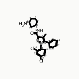 Cc1c(C(=O)N[C@H]2CCC[C@@H](N)C2)nn(-c2ccc(Cl)cc2Cl)c1-c1cc[c]cc1